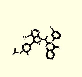 CC(C)Oc1ccc(-c2nn(C(C)c3nc4ccccc4c(=O)n3-c3cccc(F)c3)c3ncnc(N)c23)cc1F